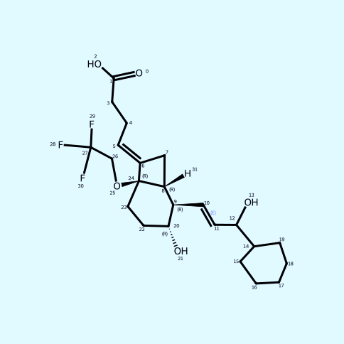 O=C(O)CCC=C1C[C@@H]2[C@@H](/C=C/C(O)C3CCCCC3)[C@H](O)CC[C@]12OCC(F)(F)F